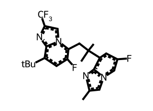 Cc1cn2cc(F)cc(C(C)(C)Cc3c(F)cc(C(C)(C)C)c4nc(C(F)(F)F)cn34)c2n1